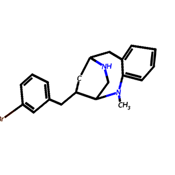 CN1c2ccccc2CC2CC(Cc3cccc(Br)c3)C1CN2